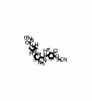 CC(C)(C)OC(=O)N1C[C@@H]2C[C@H]1CN2c1ccc2ncnc(Nc3ccc(OCC#N)c(Cl)c3F)c2n1